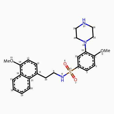 COc1ccc(S(=O)(=O)NCCc2ccc(OC)c3ccccc23)cc1N1CCNCC1